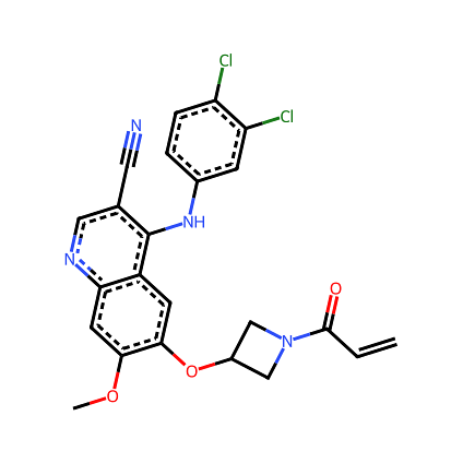 C=CC(=O)N1CC(Oc2cc3c(Nc4ccc(Cl)c(Cl)c4)c(C#N)cnc3cc2OC)C1